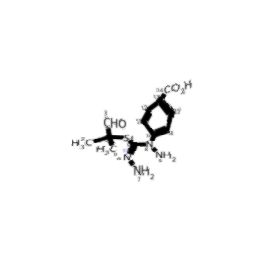 CC(C)(C=O)S/C(=N/N)N(N)c1ccc(C(=O)O)cc1